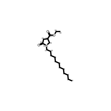 CCCCCCCCCCCCN1CC(C(=O)OCC)CC1=O